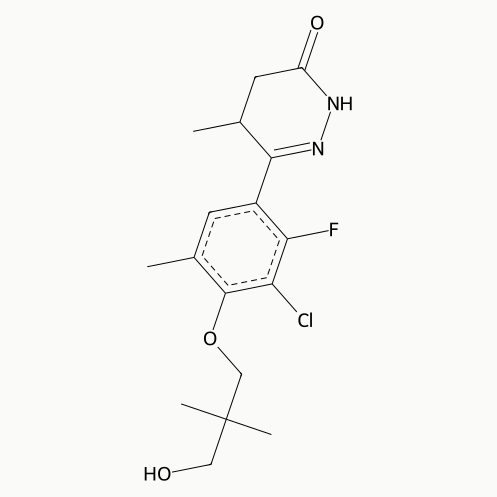 Cc1cc(C2=NNC(=O)CC2C)c(F)c(Cl)c1OCC(C)(C)CO